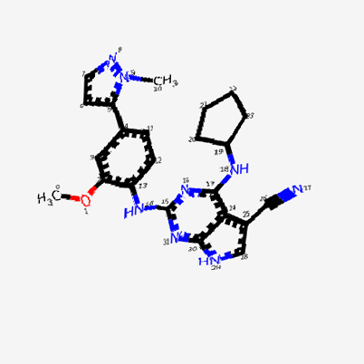 COc1cc(-c2ccnn2C)ccc1Nc1nc(NC2CCCC2)c2c(C#N)c[nH]c2n1